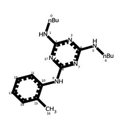 CCCCNc1nc(NCCCC)nc(Nc2ccccc2C)n1